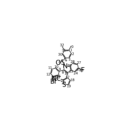 Cc1ccc([S+]([O-])n2c(-c3cccc(Br)c3)c(-c3ccsc3C#N)c3cc(F)ccc32)cc1C